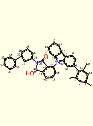 Cc1cc(C)c(-c2ccc3c4ccccc4n(-c4cccc5c4C(=O)N(c4cccc(-c6ccccc6)c4)C5O)c3c2)c(C)c1